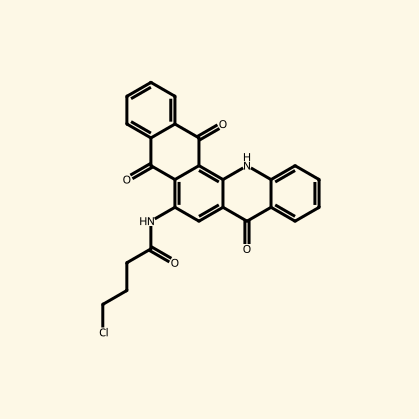 O=C(CCCCl)Nc1cc2c(=O)c3ccccc3[nH]c2c2c1C(=O)c1ccccc1C2=O